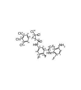 Nc1ccc(F)c(NC(=O)c2cc(NC(=O)[C@H]3[C@H](c4cc(Cl)c(Cl)c(Cl)c4)C3(Cl)Cl)cc(F)c2F)c1F